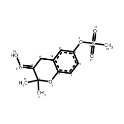 CC1(C)Oc2ccc(OS(C)(=O)=O)cc2CC1=NO